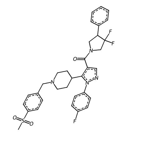 CS(=O)(=O)c1ccc(CN2CCC(c3c(C(=O)N4CC(c5ccccc5)C(F)(F)C4)cnn3-c3ccc(F)cc3)CC2)cc1